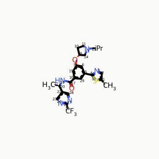 Cc1cnc(-c2cc(O[C@H]3CCN(C(C)C)C3)cc(C(=O)N[C@H](C)c3cnc(C(F)(F)F)nc3)c2)s1